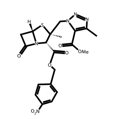 COC(=O)c1c(C)nnn1C[C@]1(C)S[C@H]2CC(=O)N2[C@H]1C(=O)OCc1ccc([N+](=O)[O-])cc1